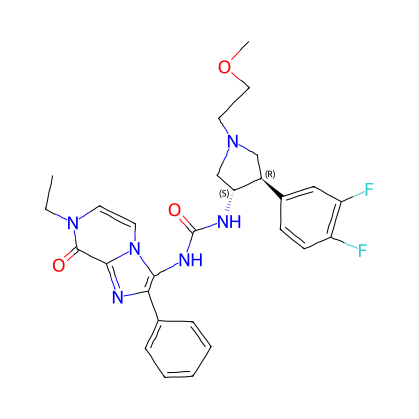 CCn1ccn2c(NC(=O)N[C@@H]3CN(CCOC)C[C@H]3c3ccc(F)c(F)c3)c(-c3ccccc3)nc2c1=O